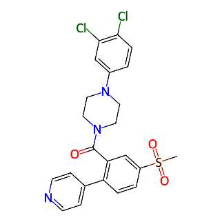 CS(=O)(=O)c1ccc(-c2ccncc2)c(C(=O)N2CCN(c3ccc(Cl)c(Cl)c3)CC2)c1